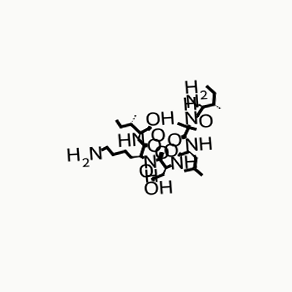 CC[C@H](C)[C@H](N)C(=O)NC(C)(C)C(=O)N[C@@H](CC(C)C)C(=O)N[C@@H](CC(=O)O)C(=O)N[C@@H](CCCCN)C(=O)N[C@H](C(=O)O)[C@@H](C)CC